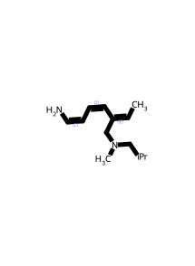 C\C=C(/C=C\C=C/N)CN(C)CC(C)C